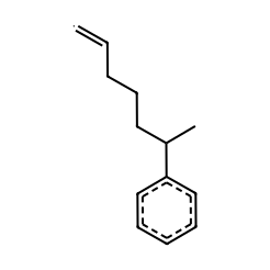 [CH]=CCCCC(C)c1ccccc1